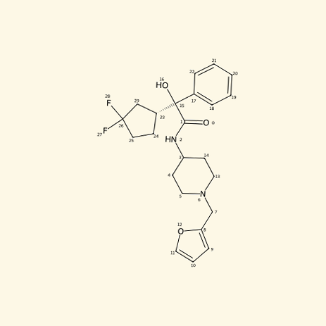 O=C(NC1CCN(Cc2ccco2)CC1)C(O)(c1ccccc1)[C@@H]1CCC(F)(F)C1